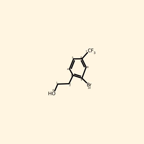 OC[CH]c1ccc(C(F)(F)F)cc1Br